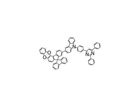 c1ccc(-c2cc(-c3ccc(-n4c5ccccc5c5cc(-c6ccc7c(c6)C6(c8ccccc8-c8ccccc86)c6ccc8c(c6-7)Oc6ccccc6O8)ccc54)cc3)nc(-c3ccccc3)n2)cc1